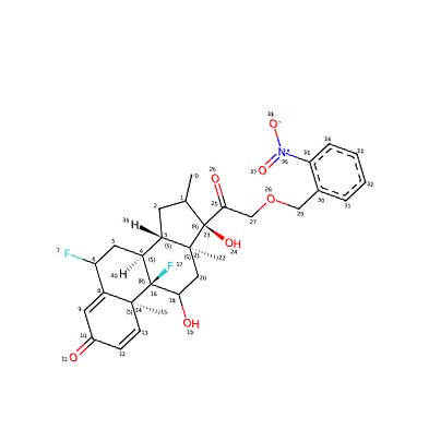 CC1C[C@H]2[C@@H]3CC(F)C4=CC(=O)C=C[C@]4(C)[C@@]3(F)C(O)C[C@]2(C)[C@@]1(O)C(=O)COCc1ccccc1[N+](=O)[O-]